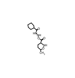 CC1CCC(C(=O)ONNC(=O)C2CCCCC2)NO1